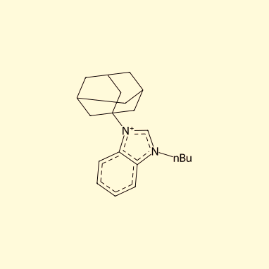 CCCCn1c[n+](C23CC4CC(CC(C4)C2)C3)c2ccccc21